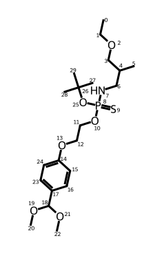 CCOCC(C)CNP(=S)(OCCOc1ccc(C(OC)OC)cc1)OC(C)(C)C